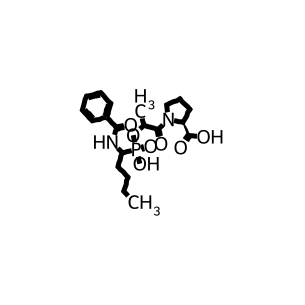 CCCCC(NC(=O)c1ccccc1)P(=O)(O)OC(C)C(=O)N1CCC[C@H]1C(=O)O